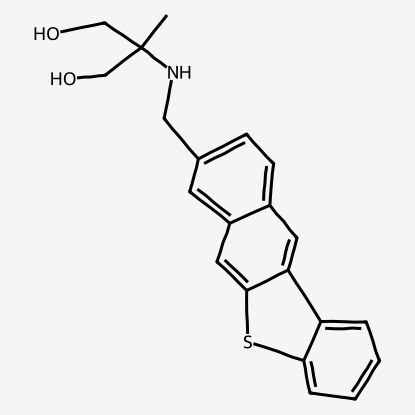 CC(CO)(CO)NCc1ccc2cc3c(cc2c1)sc1ccccc13